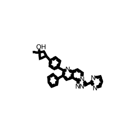 CC1(O)CC(c2ccc(-c3nc4ccn5c(-c6ncccn6)nnc5c4cc3-c3ccccc3)cc2)C1